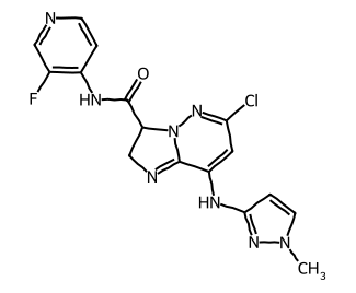 Cn1ccc(NC2=CC(Cl)=NN3C2=NCC3C(=O)Nc2ccncc2F)n1